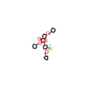 O=c1c(OCc2ccccc2)c(-c2ccc(OCc3ccccc3)c(C(F)(F)F)c2)oc2cc(OCc3ccccc3)ccc12